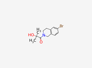 CC(C)(O)C(=O)N1CCc2cc(Br)ccc2C1